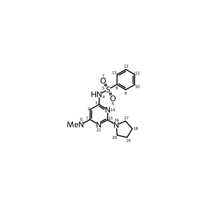 CNc1cc(NS(=O)(=O)c2cc[c]cc2)nc(N2CCCC2)n1